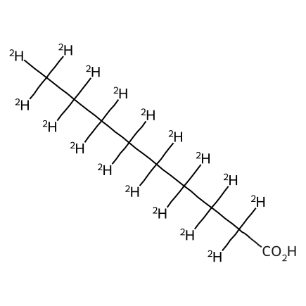 [2H]C([2H])([2H])C([2H])([2H])C([2H])([2H])C([2H])([2H])C([2H])([2H])C([2H])([2H])C([2H])([2H])C([2H])([2H])C(=O)O